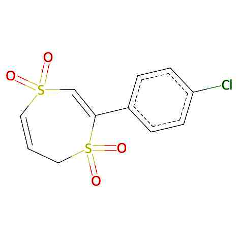 O=S1(=O)C=CCS(=O)(=O)C(c2ccc(Cl)cc2)=C1